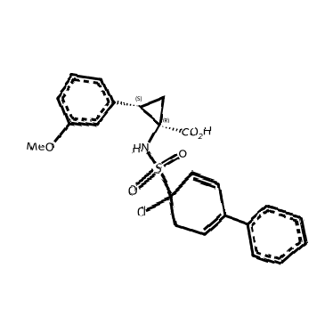 COc1cccc([C@@H]2C[C@]2(NS(=O)(=O)C2(Cl)C=CC(c3ccccc3)=CC2)C(=O)O)c1